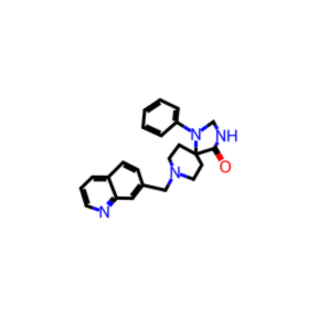 O=C1NCN(c2ccccc2)C12CCN(Cc1ccc3cccnc3c1)CC2